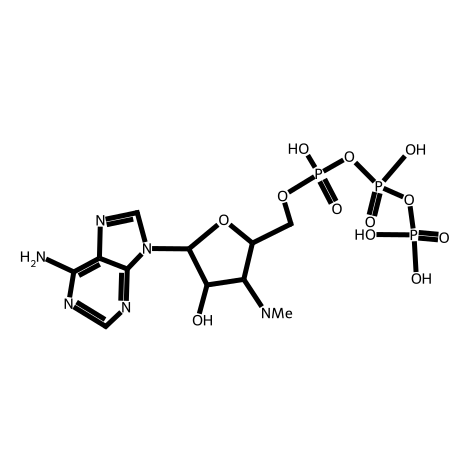 CNC1C(COP(=O)(O)OP(=O)(O)OP(=O)(O)O)OC(n2cnc3c(N)ncnc32)C1O